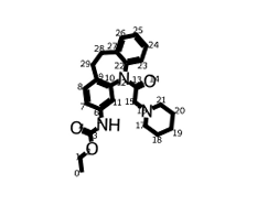 CCOC(=O)Nc1ccc2c(c1)N(C(=O)CN1CCCCC1)c1ccccc1CC2